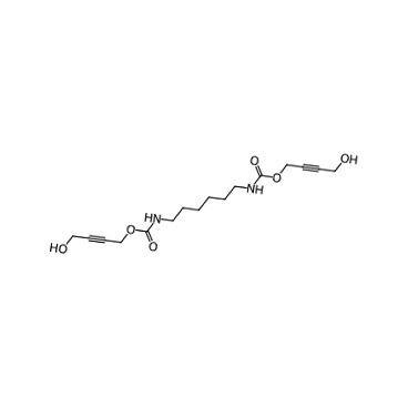 O=C(NCCCCCCNC(=O)OCC#CCO)OCC#CCO